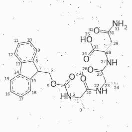 C[C@H](NC(=O)OCC1c2ccccc2-c2ccccc21)C(=O)N[C@@H](C)C(=O)N[C@@H](CC(N)=O)C(=O)O